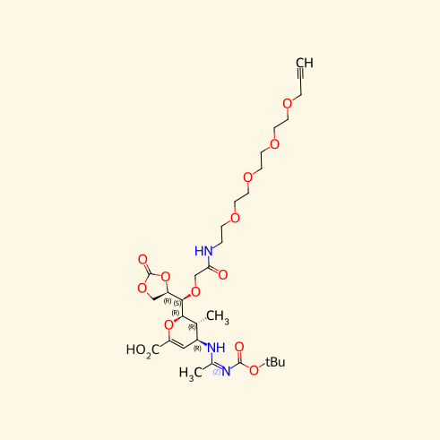 C#CCOCCOCCOCCOCCNC(=O)CO[C@@H]([C@@H]1OC(C(=O)O)=C[C@H](N/C(C)=N\C(=O)OC(C)(C)C)[C@H]1C)[C@H]1COC(=O)O1